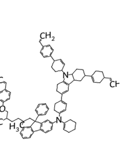 C=Cc1ccc(OCC(C)CCC(C)CC2(c3ccccc3)c3ccccc3-c3ccc(N(C4=CCCCC4)C4=CC=C(C5=CC6=C(CC5)N(C5C=CC(c7ccc(C=C)cc7)CC5)C5CCC(C7=CCC(C=C)CC7)CC65)CC4)cc32)cc1